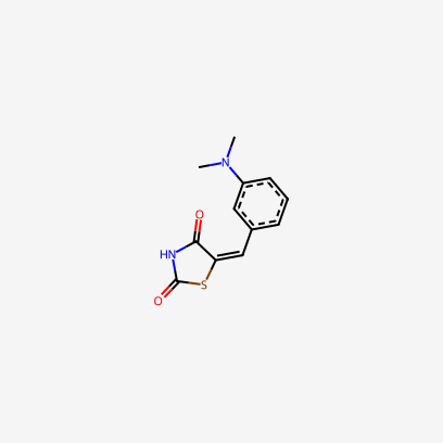 CN(C)c1cccc(/C=C2/SC(=O)NC2=O)c1